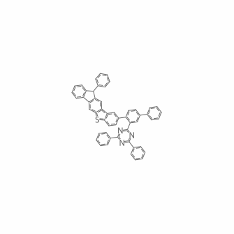 c1ccc(-c2ccc(-c3ccc4sc5cc6c(cc5c4c3)C(c3ccccc3)c3ccccc3-6)c(-c3nc(-c4ccccc4)nc(-c4ccccc4)n3)c2)cc1